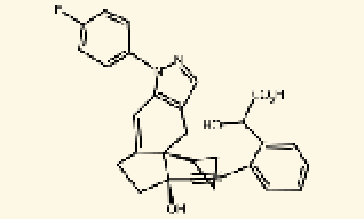 O=C(O)C(O)c1ccccc1C#C[C@]1(O)CCC2=Cc3c(cnn3-c3ccc(F)cc3)C[C@@]21C1CC1